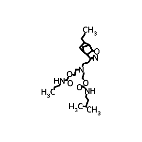 CCCNC(=O)OCCN(CCOC(=O)NCCC(C)C)CCC1=NOC2C3CC(CC3CCC)C12